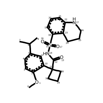 COc1ccc(C(C)C)cc1C1(C(=O)NS(=O)(=O)c2cccc3c2CCCN3)CCC1